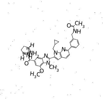 COc1cc(C(=O)N2C[C@H]3CC[C@@H]2[C@@H]3N)cc2nc(-c3cc4ccc(-c5cccc(CNC(C)=O)c5)nc4n3CC3CC3)n(C)c12